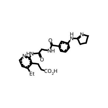 CCc1ccnc(NC(=O)CNC(=O)c2cccc(NC3=NCCC3)c2)c1CCC(=O)O